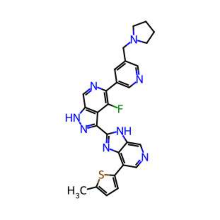 Cc1ccc(-c2cncc3[nH]c(-c4n[nH]c5cnc(-c6cncc(CN7CCCC7)c6)c(F)c45)nc23)s1